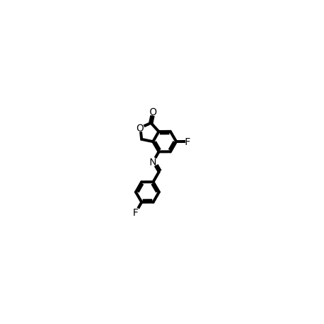 O=C1OCc2c(N=Cc3ccc(F)cc3)cc(F)cc21